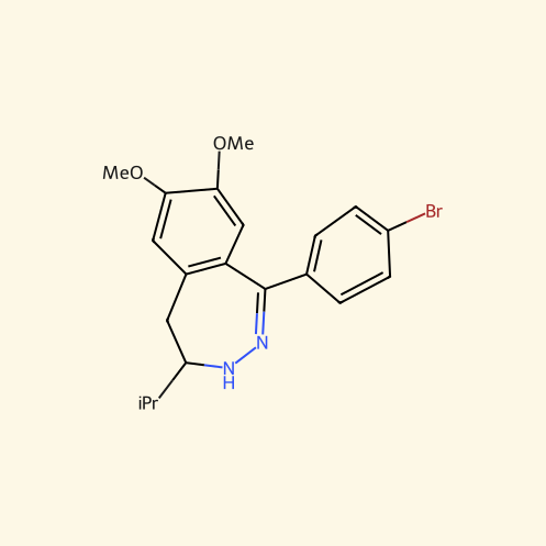 COc1cc2c(cc1OC)C(c1ccc(Br)cc1)=NNC(C(C)C)C2